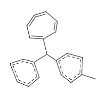 Cc1ccc(C(C2=CC=C=CC=C2)c2ccccc2)cc1